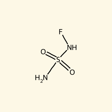 NS(=O)(=O)NF